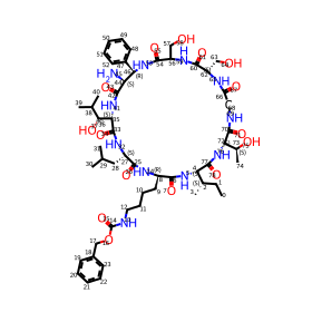 CC[C@H](C)[C@@H]1NC(=O)[C@@H](CCCCNC(=O)OCc2ccccc2)NC(=O)[C@H](CC(C)C)NC(=O)[C@H]([C@H](O)C(C)C)NC(=O)[C@@H](N)[C@@H](c2ccccc2)NC(=O)C(CO)NC(=O)[C@H](CO)NC(=O)CNC(=O)[C@H]([C@H](C)O)NC1=O